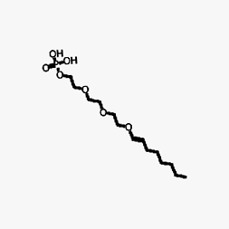 CCCCCCC=COCCOCCOCCOP(=O)(O)O